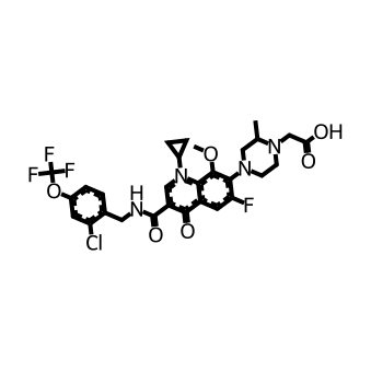 COc1c(N2CCN(CC(=O)O)C(C)C2)c(F)cc2c(=O)c(C(=O)NCc3ccc(OC(F)(F)F)cc3Cl)cn(C3CC3)c12